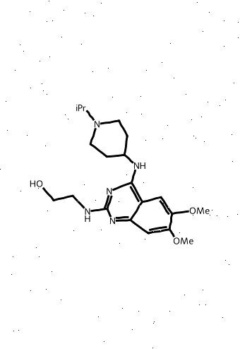 COc1cc2nc(NCCO)nc(NC3CCN(C(C)C)CC3)c2cc1OC